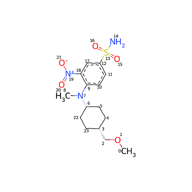 COC[C@H]1CC[C@@H](N(C)c2ccc(S(N)(=O)=O)cc2[N+](=O)[O-])CC1